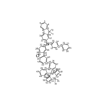 CC1(C)c2ccccc2-c2ccc(N(c3ccc(-c4ccccc4)cc3)c3ccc4oc5ccc(-c6cccc7c6-c6ccccc6C76c7ccccc7C(C)(C)c7ccccc76)cc5c4c3)cc21